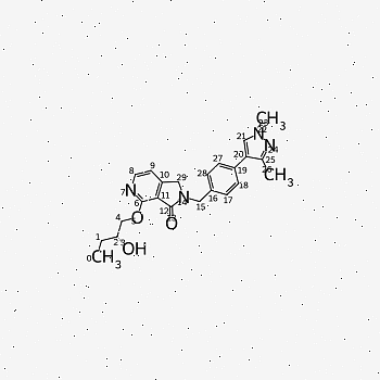 CC[C@@H](O)COc1nccc2c1C(=O)N(Cc1ccc(-c3cn(C)nc3C)cc1)C2